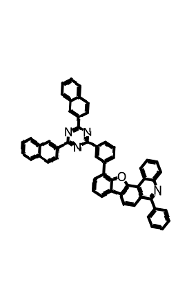 c1ccc(-c2nc3ccccc3c3c2ccc2c4cccc(-c5cccc(-c6nc(-c7ccc8ccccc8c7)nc(-c7ccc8ccccc8c7)n6)c5)c4oc23)cc1